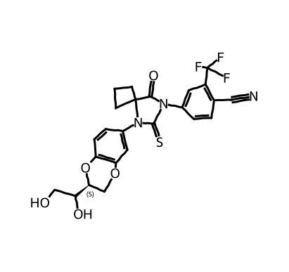 N#Cc1ccc(N2C(=O)C3(CCC3)N(c3ccc4c(c3)OC[C@@H](C(O)CO)O4)C2=S)cc1C(F)(F)F